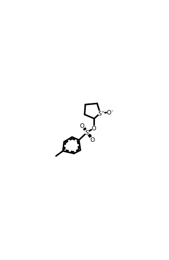 Cc1ccc(S(=O)(=O)OC2CCC[S+]2[O-])cc1